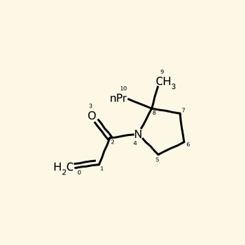 C=CC(=O)N1CCCC1(C)CCC